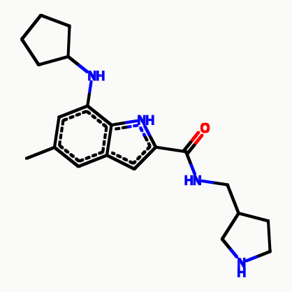 Cc1cc(NC2CCCC2)c2[nH]c(C(=O)NCC3CCNC3)cc2c1